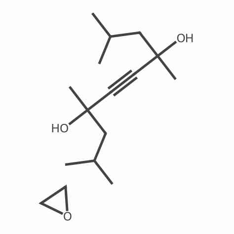 C1CO1.CC(C)CC(C)(O)C#CC(C)(O)CC(C)C